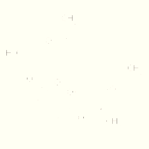 C=COCC(C)OC(=O)c1ccccc1C(=O)OC(C)COC=C